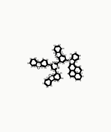 c1cc2ccc3cc4c(c5ccc(c1)c2c35)c1ccccc1n4-c1cc(-c2nc(-c3ccc4c(c3)oc3ccccc34)cc(-c3cccc4c3oc3ccccc34)n2)c2sc3ccccc3c2c1